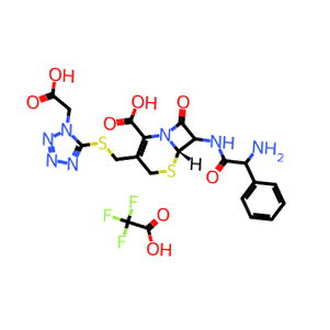 NC(C(=O)NC1C(=O)N2C(C(=O)O)=C(CSc3nnnn3CC(=O)O)CS[C@@H]12)c1ccccc1.O=C(O)C(F)(F)F